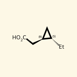 CC[C@H]1C[C@@H]1CC(=O)O